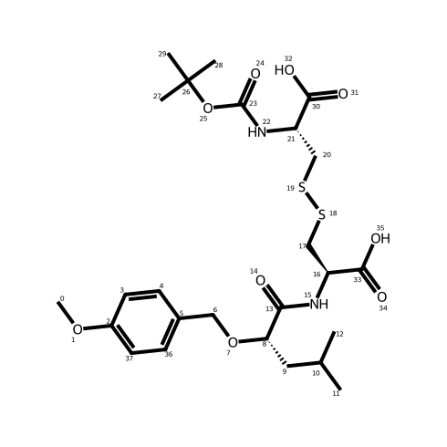 COc1ccc(CO[C@@H](CC(C)C)C(=O)N[C@@H](CSSC[C@H](NC(=O)OC(C)(C)C)C(=O)O)C(=O)O)cc1